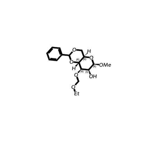 CCOCO[C@@H]1[C@H](O)[C@H](OC)O[C@@H]2COC(c3ccccc3)O[C@@H]12